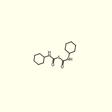 O=C(NC1CCCCC1)SC(=O)NC1CCCCC1